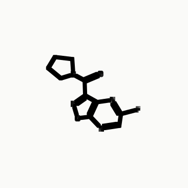 O=C(c1noc2ncc(F)nc12)N1CCCC1